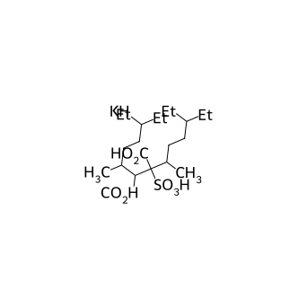 CCC(CC)CCC(C)C(C(=O)O)C(C(=O)O)(C(C)CCC(CC)CC)S(=O)(=O)O.[KH]